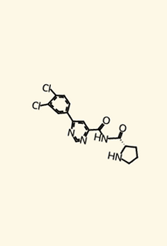 O=C(NC(=O)[C@@H]1CCCN1)c1cc(-c2ccc(Cl)c(Cl)c2)ncn1